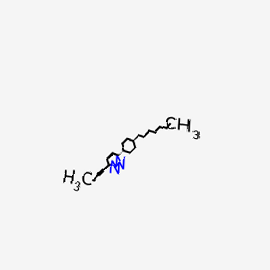 CCC#Cc1ccc([C@H]2CC[C@H](CCCCCCC)CC2)nn1